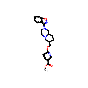 COC(=O)c1ccc(OCC2CCC3CN(c4noc5ccccc45)CCN3C2)nc1